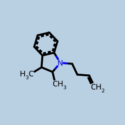 C=CCCN1c2ccccc2C(C)C1C